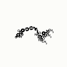 CNC(=O)c1nnc(NC(=O)CCN2CC(CN3CCN(C4CCN(c5ccc6c(c5)C(=O)N(C5CCC(=O)NC5=O)C6=O)CC4)CC3)C2)cc1Nc1cccc(-c2ncn(C)n2)c1OC